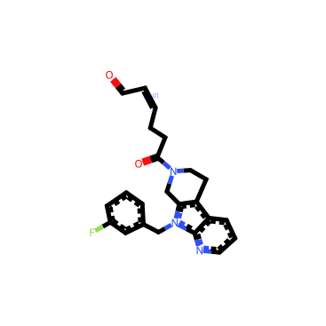 O=C/C=C\CCC(=O)N1CCc2c(n(Cc3cccc(F)c3)c3ncccc23)C1